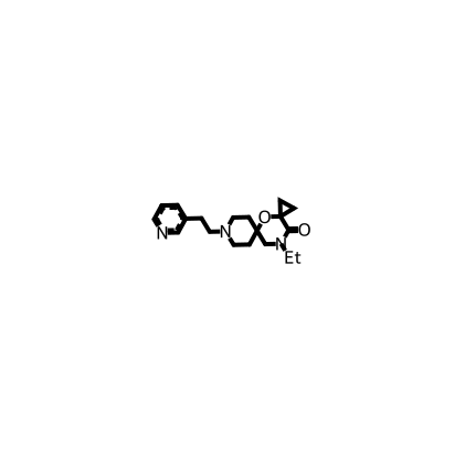 CCN1CC2(CCN(CCc3cccnc3)CC2)OC2(CC2)C1=O